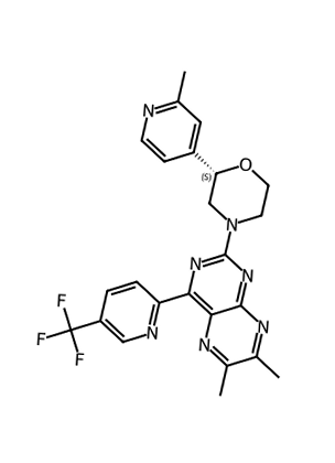 Cc1cc([C@H]2CN(c3nc(-c4ccc(C(F)(F)F)cn4)c4nc(C)c(C)nc4n3)CCO2)ccn1